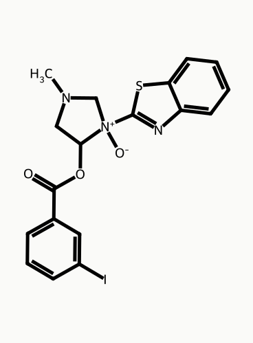 CN1CC(OC(=O)c2cccc(I)c2)[N+]([O-])(c2nc3ccccc3s2)C1